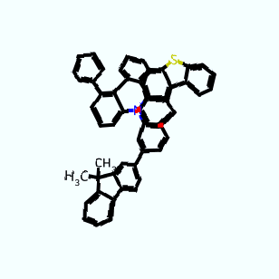 CC1(C)c2ccccc2-c2ccc(-c3cccc(N(c4ccc5sc6ccccc6c5c4)c4cccc(-c5ccccc5)c4-c4ccccc4-c4ccccc4)c3)cc21